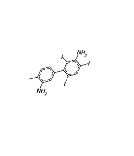 Cc1ccc(-c2c(I)cc(I)c(N)c2I)cc1N